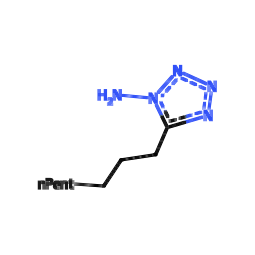 CCCCCCCCc1nnnn1N